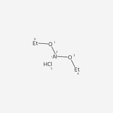 CC[O][Al][O]CC.Cl